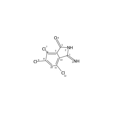 N=C1NC(=O)c2c(Cl)c(Cl)cc(Cl)c21